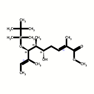 C/C=C(\C)[C@@H](O[Si](C)(C)C(C)(C)C)[C@@H](C)[C@@H](O)C/C=C(\C)C(=O)OC